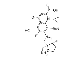 Cl.N#Cc1c(N2C[C@H]3CCO[C@@]3(CN)C2)c(F)cc2c(=O)cc(C(=O)O)n(C3CC3)c12